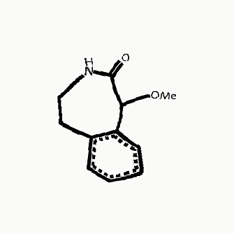 COC1C(=O)NCCc2ccccc21